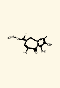 CCCCCCCCOC(=O)C1C=C(O)C(=O)c2c(cc(C)c(O)c2O)C1